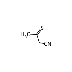 CC(=S)CC#N